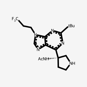 CC(=O)N[C@@]1(c2nc(C(C)(C)C)nc3c2ncn3CCC(F)(F)F)CCNC1